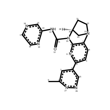 Cc1cc(-c2ccc3c(n2)N(C(=O)Nc2cnccn2)[C@H]2CCN3C2)cnn1